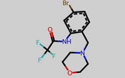 O=C(Nc1cc(Br)ccc1CN1CCOCC1)C(F)(F)F